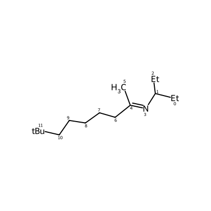 CCC(CC)/N=C(\C)CCCCCC(C)(C)C